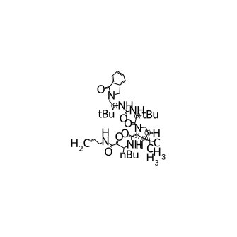 C=CCNC(=O)C(=O)C(CCCC)NC(=O)[C@@H]1[C@@H]2[C@H](CN1C(=O)[C@@H](NC(=O)N[C@H](CN1Cc3ccccc3C1=O)C(C)(C)C)C(C)(C)C)C2(C)C